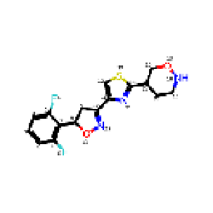 Fc1cccc(F)c1C1CC(c2csc(C3CCNOC3)n2)=NO1